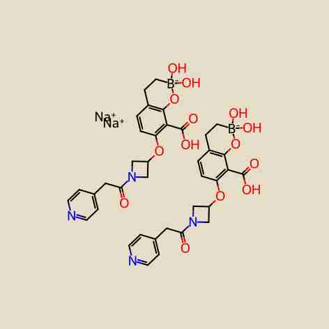 O=C(O)c1c(OC2CN(C(=O)Cc3ccncc3)C2)ccc2c1O[B-](O)(O)CC2.O=C(O)c1c(OC2CN(C(=O)Cc3ccncc3)C2)ccc2c1O[B-](O)(O)CC2.[Na+].[Na+]